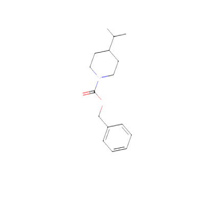 CCC(C(=O)O)C1CCN(C(=O)OCc2ccccc2)CC1